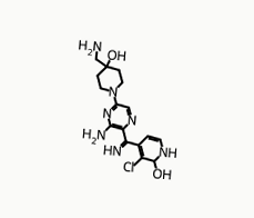 N=C(C1=C(Cl)C(O)NC=C1)c1ncc(N2CCC(O)(CN)CC2)nc1N